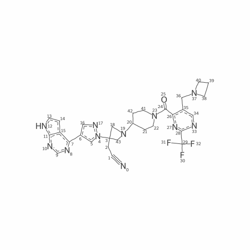 N#CCC1(n2cc(-c3ncnc4[nH]ccc34)cn2)CN(C2CCN(C(=O)c3nc(C(F)(F)F)ncc3CN3CCC3)CC2)C1